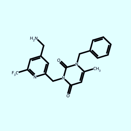 Cc1cc(=O)n(Cc2cc(CN)cc(C(F)(F)F)n2)c(=O)n1Cc1ccccc1